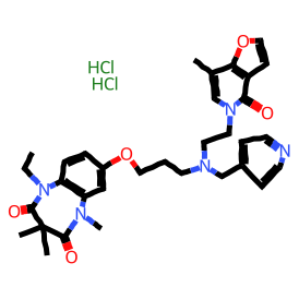 CCN1C(=O)C(C)(C)C(=O)N(C)c2cc(OCCCN(CCn3cc(C)c4occc4c3=O)Cc3ccncc3)ccc21.Cl.Cl